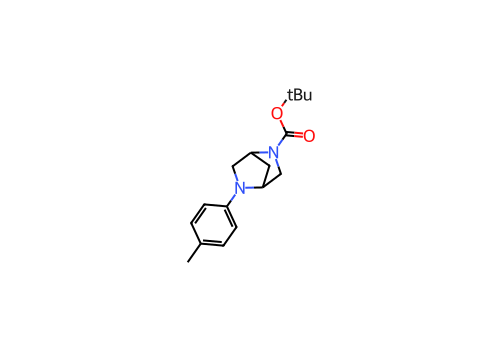 Cc1ccc(N2CC3CC2CN3C(=O)OC(C)(C)C)cc1